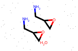 NCC1CO1.NCC1CO1.O